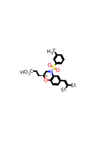 CCC(=Cc1ccc2c(c1)N(S(=O)(=O)c1cccc(C)c1)C[C@H](CCC(=O)O)O2)CC